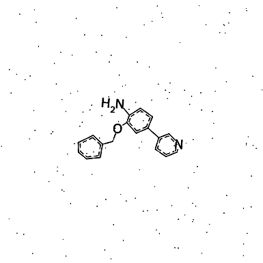 Nc1ccc(-c2cccnc2)cc1OCc1ccccc1